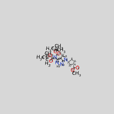 COC(=O)[C@@H]1CC[C@@H](n2ccc3c(N(C(=O)OC(C)(C)C)C(=O)OC(C)(C)C)ncnc32)C1